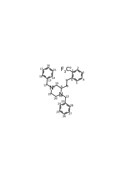 FC(F)(F)c1ccccc1CCC1CN(Cc2ccccc2)CCN1Cc1ccccc1